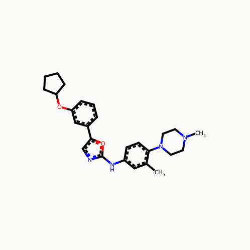 Cc1cc(Nc2ncc(-c3cccc(OC4CCCC4)c3)o2)ccc1N1CCN(C)CC1